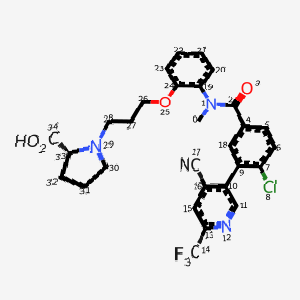 CN(C(=O)c1ccc(Cl)c(-c2cnc(C(F)(F)F)cc2C#N)c1)c1ccccc1OCCCN1CCC[C@H]1C(=O)O